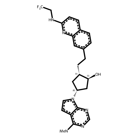 CNc1ncnc2c1ccn2[C@@H]1C[C@H](CCc2ccc3ccc(NCC(F)(F)F)nc3c2)[C@@H](O)C1